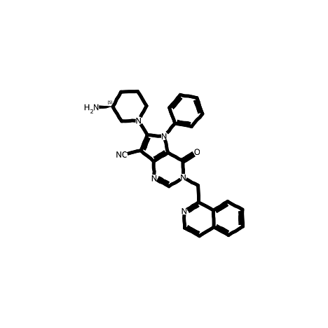 N#Cc1c(N2CCC[C@H](N)C2)n(-c2ccccc2)c2c(=O)n(Cc3nccc4ccccc34)cnc12